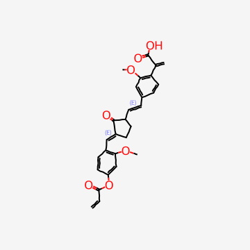 C=CC(=O)Oc1ccc(/C=C2\CCC(/C=C/c3ccc(C(=C)C(=O)O)c(OC)c3)C2=O)c(OC)c1